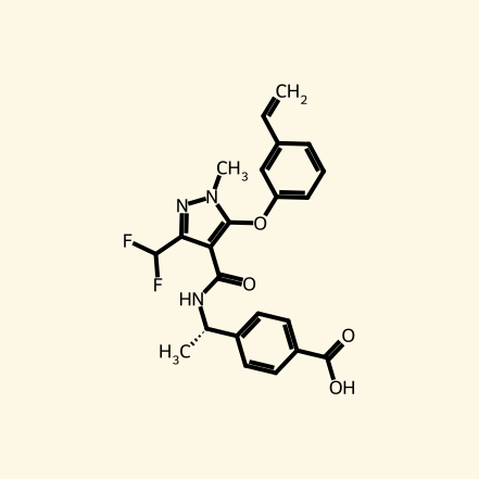 C=Cc1cccc(Oc2c(C(=O)N[C@@H](C)c3ccc(C(=O)O)cc3)c(C(F)F)nn2C)c1